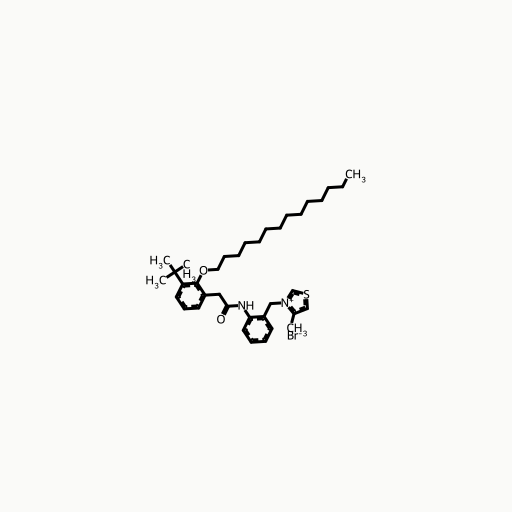 CCCCCCCCCCCCCCOc1c(CC(=O)Nc2ccccc2C[n+]2cscc2C)cccc1C(C)(C)C.[Br-]